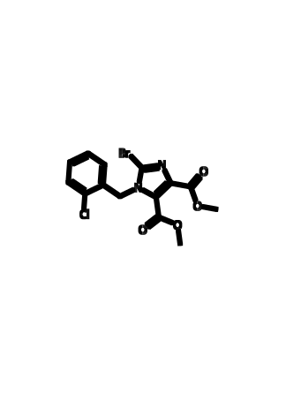 COC(=O)c1nc(Br)n(Cc2ccccc2Cl)c1C(=O)OC